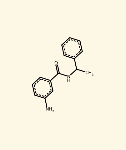 CC(NC(=O)c1cccc(N)c1)c1ccccc1